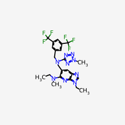 CCN(C)c1nc2c(cc1CN(Cc1cc(C(F)(F)F)cc(C(F)(F)F)c1)c1nnn(C)n1)ncn2CC